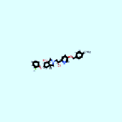 COc1ccc(COc2ccc([C@H](O)CN3C[C@H]4C[C@H](Oc5ccccc5F)C[C@@]4(O)C3)nc2)cc1